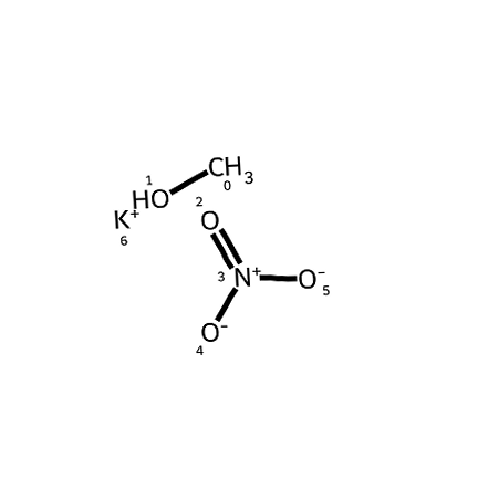 CO.O=[N+]([O-])[O-].[K+]